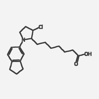 O=C(O)CCCCCCC1C(Cl)CCN1c1ccc2c(c1)CCC2